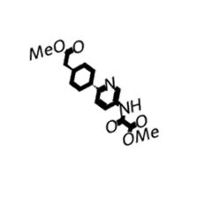 COC(=O)C[C@H]1CC[C@H](c2ccc(NC(=O)C(=O)OC)cn2)CC1